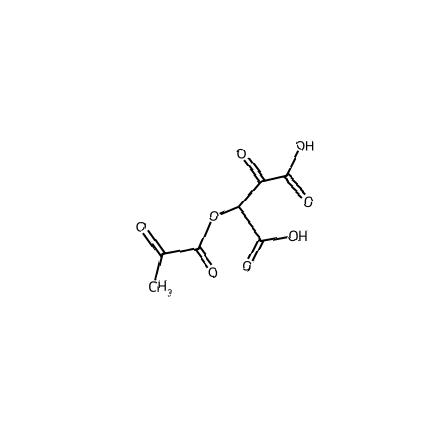 CC(=O)C(=O)OC(C(=O)O)C(=O)C(=O)O